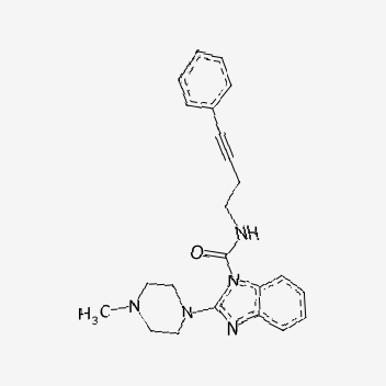 CN1CCN(c2nc3ccccc3n2C(=O)NCCC#Cc2ccccc2)CC1